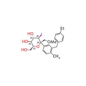 CCc1ccc(Cc2cc([C@]3(COC)O[C@@H](CO)[C@@H](O)[C@H](O)[C@H]3I)ccc2C)cc1